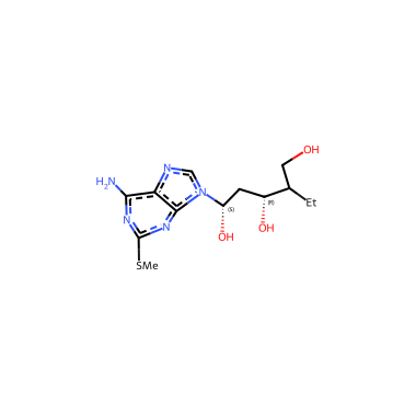 CCC(CO)[C@H](O)C[C@H](O)n1cnc2c(N)nc(SC)nc21